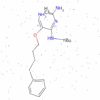 C=C(N)/N=C(NCCCC)\C(=C/N)OCCCCc1ccccc1